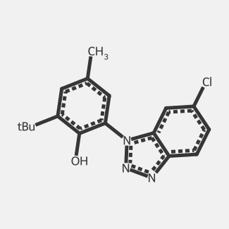 Cc1cc(-n2nnc3ccc(Cl)cc32)c(O)c(C(C)(C)C)c1